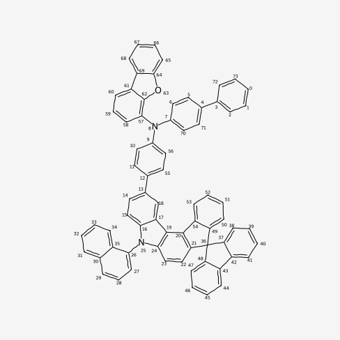 c1ccc(-c2ccc(N(c3ccc(-c4ccc5c(c4)c4c6c(ccc4n5-c4cccc5ccccc45)C4(c5ccccc5-c5ccccc54)c4ccccc4-6)cc3)c3cccc4c3oc3ccccc34)cc2)cc1